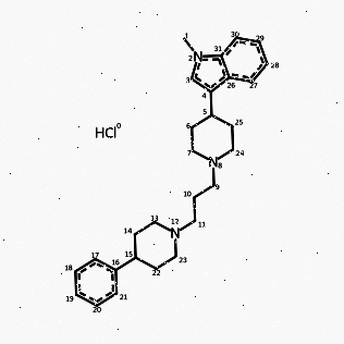 Cl.Cn1cc(C2CCN(CCCN3CCC(c4ccccc4)CC3)CC2)c2ccccc21